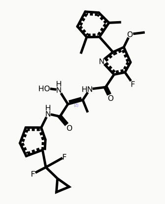 COc1cc(F)c(C(=O)N/C(C)=C(\NO)C(=O)Nc2cccc(C(F)(F)C3CC3)c2)nc1-c1c(C)cccc1C